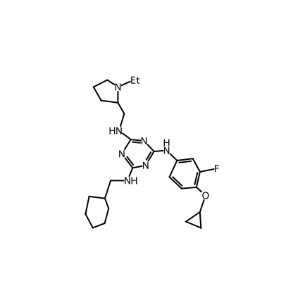 CCN1CCCC1CNc1nc(NCC2CCCCC2)nc(Nc2ccc(OC3CC3)c(F)c2)n1